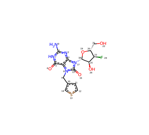 Nc1nc2c(c(=O)[nH]1)n(Cc1ccsc1)c(=O)n2[C@@H]1O[C@H](CO)[C@@H](F)[C@H]1O